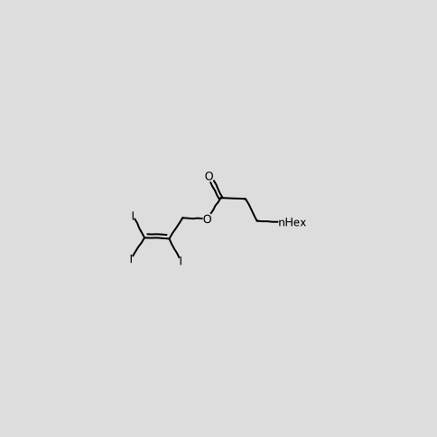 CCCCCCCCC(=O)OCC(I)=C(I)I